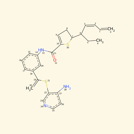 C=C/C=C\C(CC)C1CC=C(C(=O)Nc2cccc(C(=C)Sc3cnccc3N)c2)S1